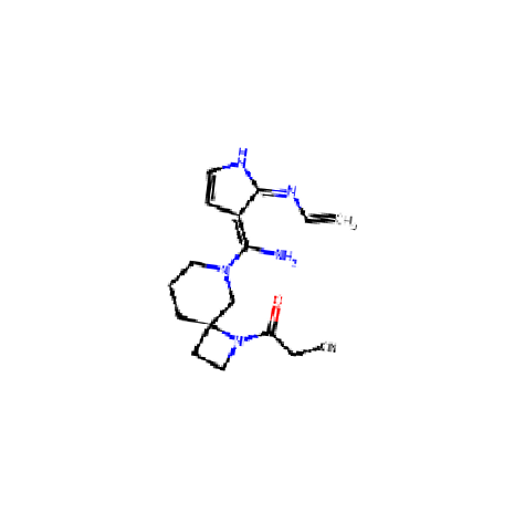 C=C/N=C1/NC=C/C1=C(/N)N1CCC[C@@]2(CCN2C(=O)CC#N)C1